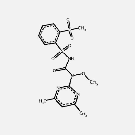 CON(C(=O)NS(=O)(=O)c1ccccc1S(C)(=O)=O)c1nc(C)cc(C)n1